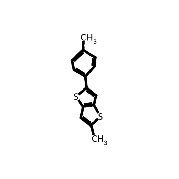 Cc1ccc(-c2cc3sc(C)cc3s2)cc1